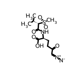 CC(C)[C@@H](C(=O)N[C@@H](CCC(=O)C=[N+]=[N-])C(=O)O)S(C)(=O)=O